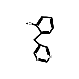 Oc1ccccc1Cc1cncnc1